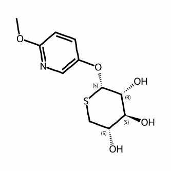 COc1ccc(O[C@H]2SC[C@@H](O)[C@H](O)[C@H]2O)cn1